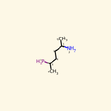 CC(N)CCC(C)P